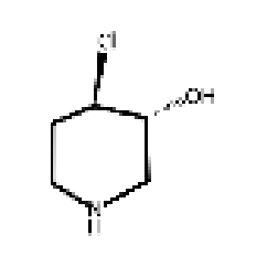 O[C@@H]1CNCC[C@H]1Cl